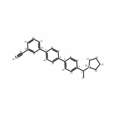 CC(c1ccc(-c2ccc(-c3cccc(C#N)c3)cc2)cc1)N1CCCC1